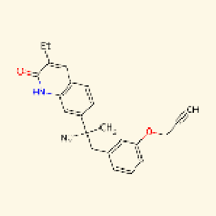 C#CCOc1cccc(CC(C)(C#N)c2ccc3cc(CC)c(=O)[nH]c3c2)c1